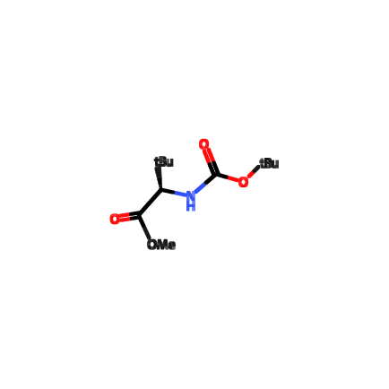 COC(=O)[C@H](NC(=O)OC(C)(C)C)C(C)(C)C